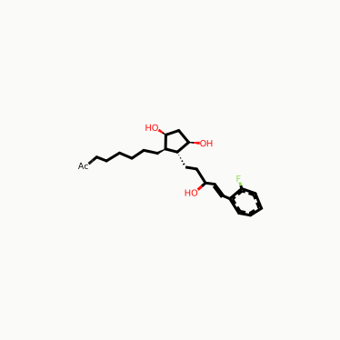 CC(=O)CCCCCC[C@@H]1[C@@H](CCC(O)C=Cc2ccccc2F)[C@H](O)C[C@@H]1O